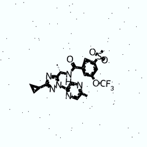 Cc1cnc(-n2nc(C3CC3)nc2[C@H](C)NC(=O)c2cc(OC(F)(F)F)cc(S(C)(=O)=O)c2)cn1